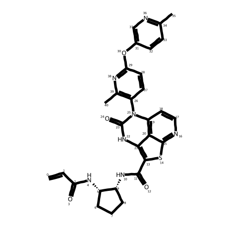 C=CC(=O)N[C@H]1CCC[C@H]1NC(=O)c1sc2nccc3c2c1NC(=O)N3c1ccc(Oc2ccc(C)nc2)nc1C